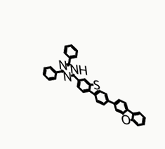 c1ccc(C2=NC(c3ccc4c(c3)sc3cc(-c5ccc6c(c5)oc5ccccc56)ccc34)NC(c3ccccc3)=N2)cc1